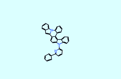 c1ccc(-c2cccc(-n3c4ccccc4c4c5c6ccccc6n6c7ccccc7cc6c5ccc43)n2)cc1